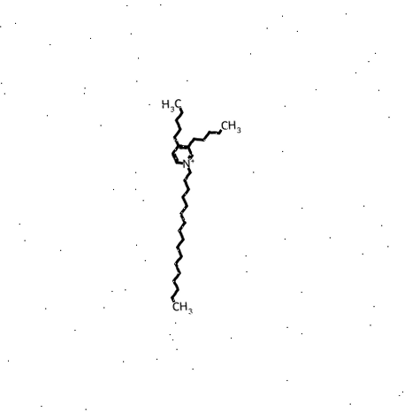 CCCCCCCCCCCCCCCCC[n+]1ccc(CCCCC)c(CCCCC)c1